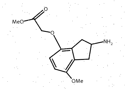 COC(=O)COc1ccc(OC)c2c1CC(N)C2